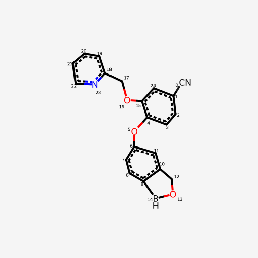 N#Cc1ccc(Oc2ccc3c(c2)COB3)c(OCc2ccccn2)c1